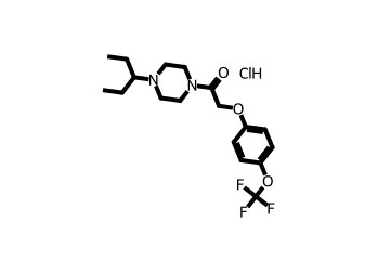 CCC(CC)N1CCN(C(=O)COc2ccc(OC(F)(F)F)cc2)CC1.Cl